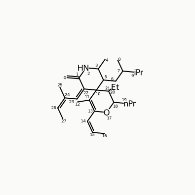 C=C1NC(C)C(CC(C)C(C)C)C2(C(C)=C(/C=C\C)OC(CCC)C2CC)/C1=C/C(C)=C\C